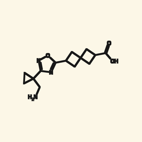 NCC1(c2noc(C3CC4(CC(C(=O)O)C4)C3)n2)CC1